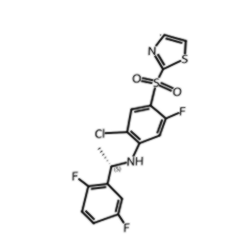 C[C@H](Nc1cc(F)c(S(=O)(=O)c2n[c]cs2)cc1Cl)c1cc(F)ccc1F